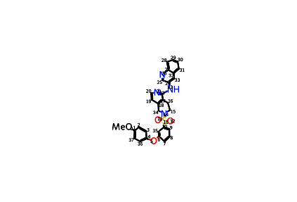 COc1ccc(Oc2cccc(S(=O)(=O)N3CCc4c(ccnc4Nc4cnc5ccccc5c4)C3)c2)cc1